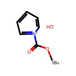 CC(C)(C)OC(=O)[n+]1ccccc1.[OH-]